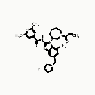 C=CC(=O)N1CCCC[C@@H](n2c(NC(=O)c3cc(C)nc(C)c3)nc3cc(CN4CC[C@H](F)C4)cc(C)c32)C1